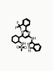 CS(=O)(=O)NC1CCCCC1c1cc(Nc2n[nH]c3ccccc23)nc(-c2ccccc2C(F)(F)F)n1